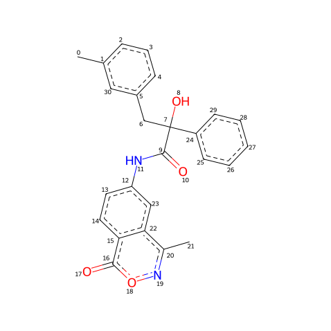 Cc1cccc(CC(O)(C(=O)Nc2ccc3c(=O)onc(C)c3c2)c2ccccc2)c1